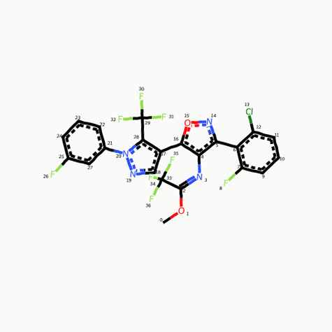 CO/C(=N/c1c(-c2c(F)cccc2Cl)noc1-c1cnn(-c2cccc(F)c2)c1C(F)(F)F)C(F)(F)F